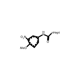 CCCCCCCC(=O)Nc1ccc(OC)c([N+](=O)[O-])c1